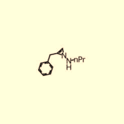 CCCNN1C=C1Cc1ccccc1